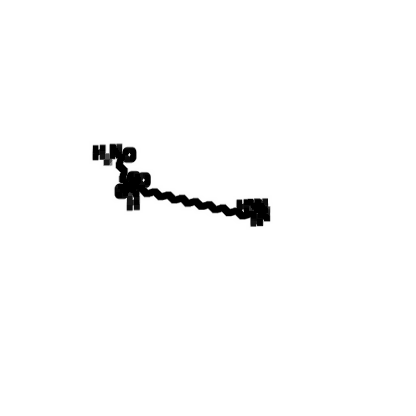 NC(=O)CCCS(=O)(=O)NC(=O)CCCCCCCCCCCCCCCc1nnn[nH]1